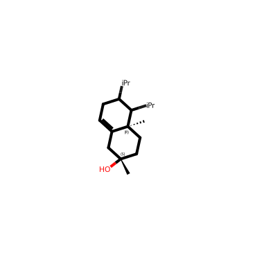 CC(C)C1CC=C2C[C@@](C)(O)CC[C@]2(C)C1C(C)C